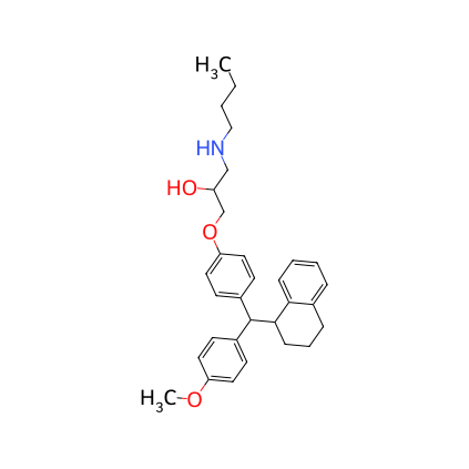 CCCCNCC(O)COc1ccc(C(c2ccc(OC)cc2)C2CCCc3ccccc32)cc1